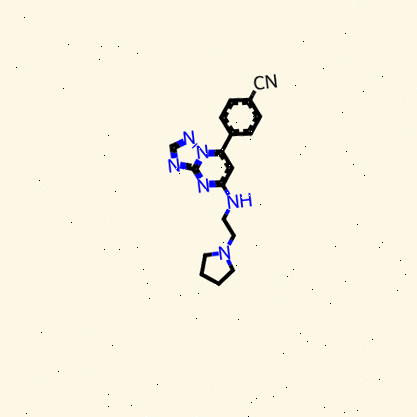 N#Cc1ccc(-c2cc(NCCN3CCCC3)nc3ncnn23)cc1